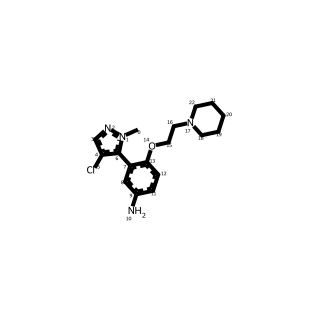 Cn1ncc(Cl)c1-c1cc(N)ccc1OCCN1CCCCC1